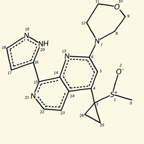 C[S+]([O-])C1(c2cc(N3CCOCC3)nc3c(-c4ccn[nH]4)nccc23)CC1